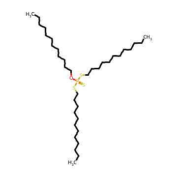 CCCCCCCCCCCCOP(=S)(SCCCCCCCCCCCC)SCCCCCCCCCCCC